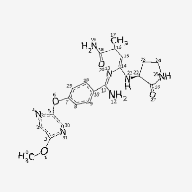 COc1cnc(Oc2ccc(/C(N)=N/C(=C\C(C)C(N)=O)N[C@H]3CCNC3=O)cc2)cn1